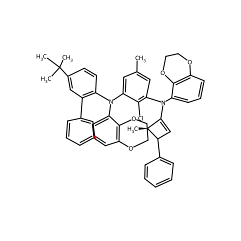 Cc1cc(N(C2=CC(c3ccccc3)[C@H]2C)c2cccc3c2OCCO3)c(Cl)c(N(c2ccc(C(C)(C)C)cc2-c2ccccc2)c2cccc3c2OCCO3)c1